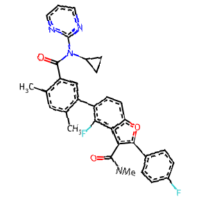 CNC(=O)c1c(-c2ccc(F)cc2)oc2ccc(-c3cc(C(=O)N(c4ncccn4)C4CC4)c(C)cc3C)c(F)c12